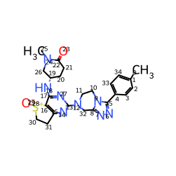 Cc1ccc(-c2nnc3n2CCN(c2nc4c(c(N[C@H]5CCC(=O)N(C)C5)n2)[S+]([O-])CC4)C3)cc1